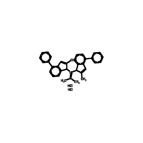 CC1=Cc2c(-c3ccccc3)cccc2[CH]1[Hf]([CH]1C(C)=Cc2c(-c3ccccc3)cccc21)=[Si](C)C.Cl.Cl